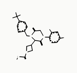 CNC(=O)N1CC(C2C(=O)N(c3ncc(Cl)cc3F)CC(=O)N2Cc2ccc(C(F)(F)F)cc2)C1